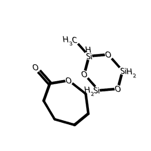 C[SiH]1O[SiH2]O[SiH2]O1.O=C1CCCCCO1